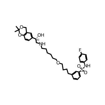 CC1(C)OCc2cc([C@H](O)CNCCCCCCOCCCCc3cccc(S(=O)(=O)Nc4ccc(F)cc4)c3)ccc2O1